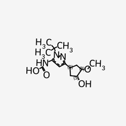 CO[C@@H]1C[C@H](c2cc(NC(=O)O)n(C(C)(C)C)n2)C[C@@H]1O